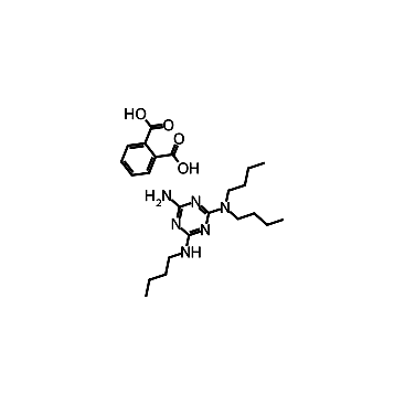 CCCCNc1nc(N)nc(N(CCCC)CCCC)n1.O=C(O)c1ccccc1C(=O)O